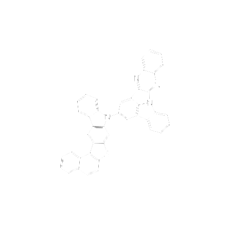 c1ccc2c(c1)ccc1sc3cc4c(cc3c12)c1ccccc1n4-c1cc2c3ccccc3n3c4nc5ccccc5nc4c(c1)c23